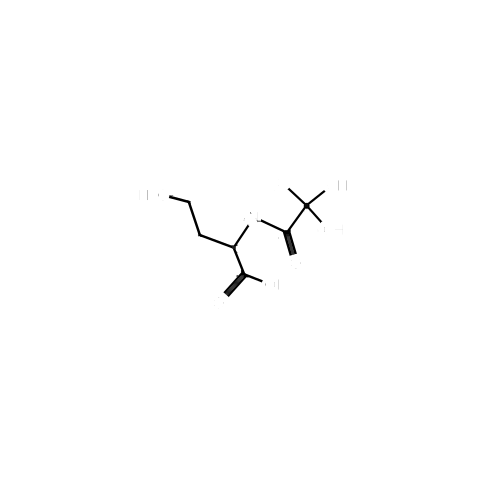 CCCC(NC(=O)C(C)(C)C)C(=O)O